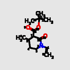 C=CN1CCC(C)C(C(=O)OC(C)(C)C)C1=O